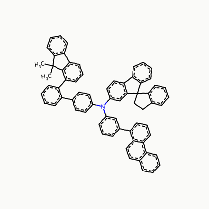 CC1(C)c2ccccc2-c2cccc(-c3ccccc3-c3ccc(N(c4cccc(-c5cccc6c5ccc5ccccc56)c4)c4ccc5c(c4)C4(CCc6ccccc64)c4ccccc4-5)cc3)c21